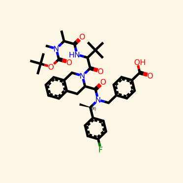 CC(C(=O)NC(C(=O)N1Cc2ccccc2CC1C(=O)N(Cc1ccc(C(=O)O)cc1)[C@H](C)c1ccc(F)cc1)C(C)(C)C)N(C)C(=O)OC(C)(C)C